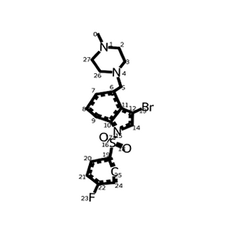 CN1CCN(Cc2cccc3c2c(Br)cn3S(=O)(=O)c2ccc(F)cc2)CC1